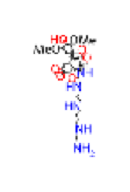 COc1cc([C@@H]2c3cc4c(cc3[C@@H](NC(=O)CNCCCNCCCCNCCCN)[C@H]3COC(=O)[C@H]23)OCO4)cc(OC)c1O